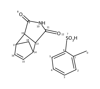 Cc1ccccc1S(=O)(=O)O.O=C1NC(=O)C2C3C=CC(C3)C12